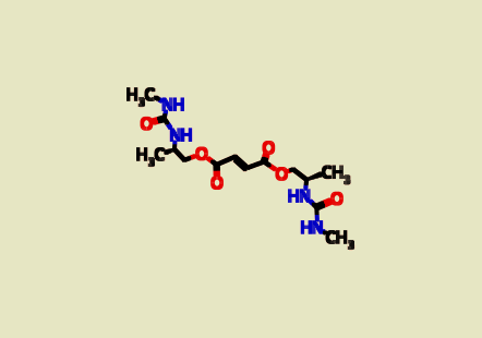 CNC(=O)N[C@H](C)COC(=O)/C=C/C(=O)OC[C@@H](C)NC(=O)NC